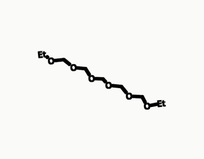 CCOCOCOCOCOCOCC